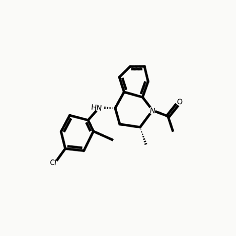 CC(=O)N1c2ccccc2[C@@H](Nc2ccc(Cl)cc2C)C[C@H]1C